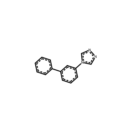 c1ccc(-c2cccc(-n3cnnc3)c2)cc1